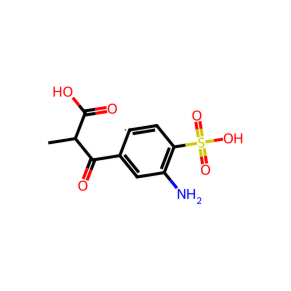 CC(C(=O)O)C(=O)c1[c]cc(S(=O)(=O)O)c(N)c1